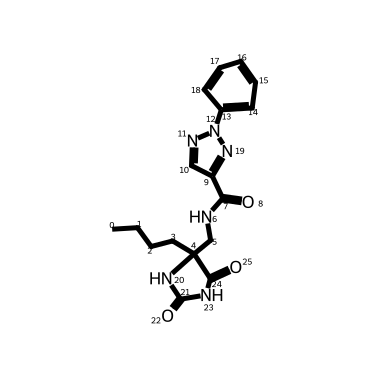 CCCCC1(CNC(=O)c2cnn(-c3ccccc3)n2)NC(=O)NC1=O